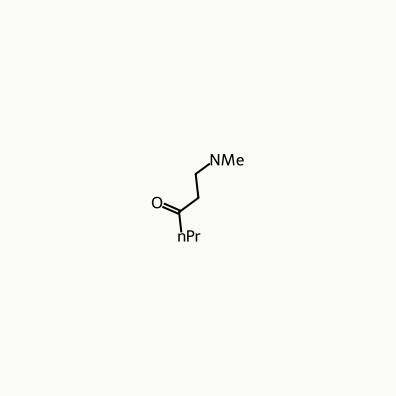 CCCC(=O)CCNC